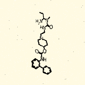 CCC(N)N(C)C(=O)NCCN1CCC(OC(=O)Nc2ccccc2-c2ccccc2)CC1